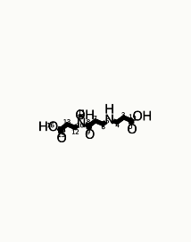 O=C(O)CCNCCC(=O)N(O)CCC(=O)O